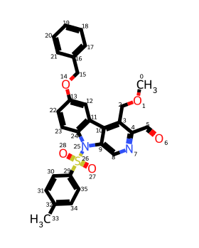 COCc1c(C=O)ncc2c1c1cc(OCc3ccccc3)ccc1n2S(=O)(=O)c1ccc(C)cc1